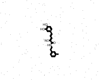 Cc1cccc(CCNC(=O)/C(C#N)=C/C=C/c2ccc(O)c(O)c2)c1